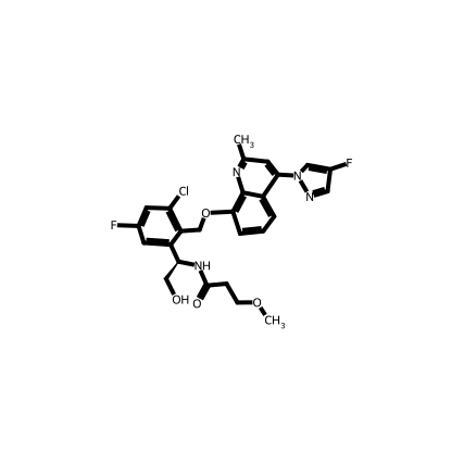 COCCC(=O)N[C@@H](CO)c1cc(F)cc(Cl)c1COc1cccc2c(-n3cc(F)cn3)cc(C)nc12